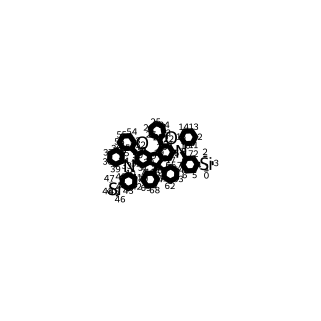 C[Si](C)(C)c1cccc(N(c2ccccc2)c2cc3c(c4c2oc2ccccc24)-c2c(cc(N(c4ccccc4)c4cccc([Si](C)(C)C)c4)c4c2oc2ccccc24)C3(c2ccccc2)c2ccccc2)c1